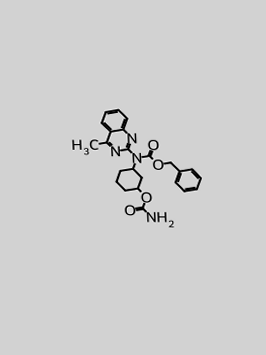 Cc1nc(N(C(=O)OCc2ccccc2)C2CCCC(OC(N)=O)C2)nc2ccccc12